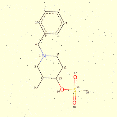 CC1CN(Cc2ccccc2)CCC1OS(C)(=O)=O